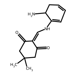 CC1(C)CC(=O)C(=CNC2=CC=CCC2N)C(=O)C1